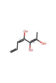 C=C/C=C(O)\C(O)=C(/C)O